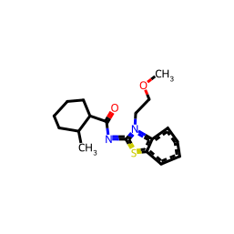 COCCn1c(=NC(=O)C2CCCCC2C)sc2ccccc21